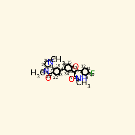 CNC(=O)c1c(-c2ccc(F)cc2)oc2ccc(-c3ccc(C(=O)N(C)C4CCN(C)C4)cc3)cc12